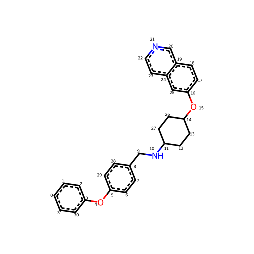 c1ccc(Oc2ccc(CNC3CCC(Oc4ccc5cnccc5c4)CC3)cc2)cc1